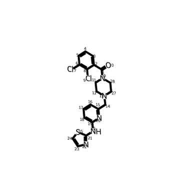 O=C(c1cccc(Cl)c1Cl)N1CCN(Cc2cccc(Nc3nccs3)n2)CC1